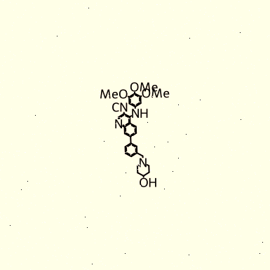 COc1cc(Nc2c(C#N)cnc3cc(-c4cccc(CN5CCC(O)CC5)c4)ccc23)cc(OC)c1OC